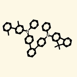 Cc1ccccc1-c1ccc(N(c2ccccc2)c2ccc(-c3ccccc3-c3ccc(N(c4ccccc4)c4ccc5c(c4)C(C)(C)c4ccccc4-5)cc3)cc2)cc1C